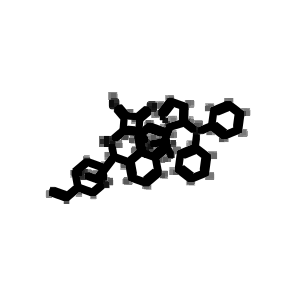 C=CC1CN2CCC1CC2C(Nc1c(N[C@H](C)[C@@H]2C=CC=C2P(c2ccccc2)c2ccccc2)c(=O)c1=O)c1cccc2ccccc12